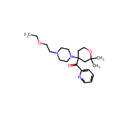 CC1(C)CC(C(=O)c2ccccn2)(N2CCN(CCOCC(F)(F)F)CC2)CCO1